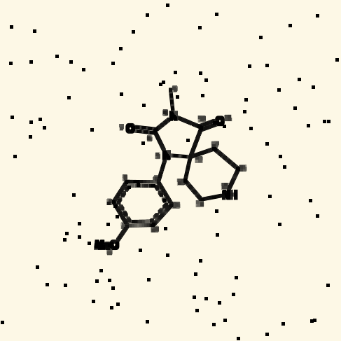 COc1ccc(N2C(=O)N(C)C(=O)C23CCNCC3)cc1